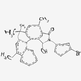 Cc1cc2c(c3c1C(=O)N(c1ccc(Br)cc1)C3O)-c1c(cc(C)c3ccccc13)C2(C)C